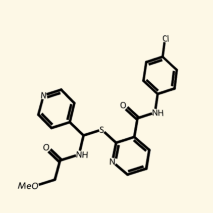 COCC(=O)NC(Sc1ncccc1C(=O)Nc1ccc(Cl)cc1)c1ccncc1